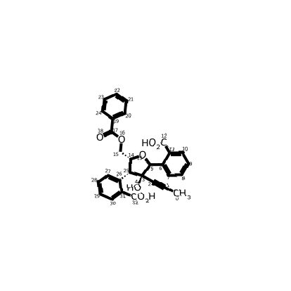 CC#C[C@@]1(O)C(c2ccccc2C(=O)O)O[C@@H](COC(=O)c2ccccc2)[C@H]1c1ccccc1C(=O)O